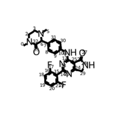 CN1CCN(C)C(c2ccc(Nc3nc(-c4c(F)cccc4F)nc4c3C(=O)NC4)cc2)C1=O